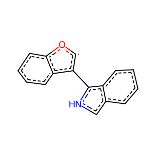 [c]1oc2ccccc2c1-c1[nH]cc2ccccc12